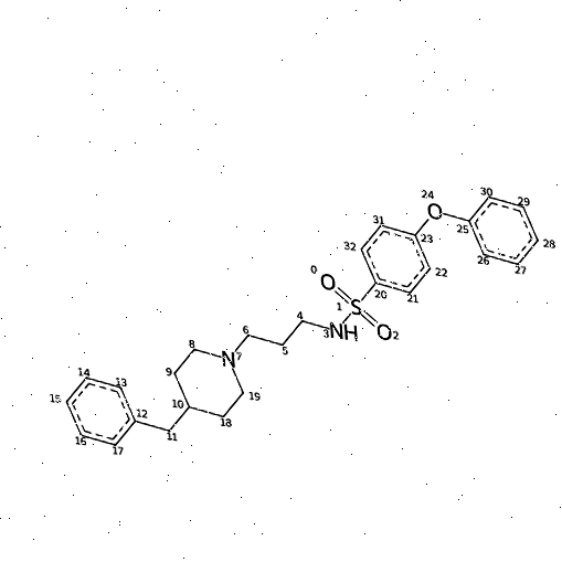 O=S(=O)(NCCCN1CCC(Cc2ccccc2)CC1)c1ccc(Oc2ccccc2)cc1